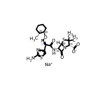 C[C@@H]1CCCC[C@H]1O/N=C(\C(=O)N[C@H]1C(=O)N2[C@@H]1SC(C)(C)[C@@H]2C(=O)[O-])c1csc(N)n1.[Na+]